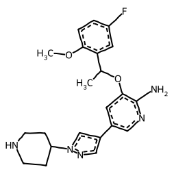 COc1ccc(F)cc1C(C)Oc1cc(-c2cnn(C3CCNCC3)c2)cnc1N